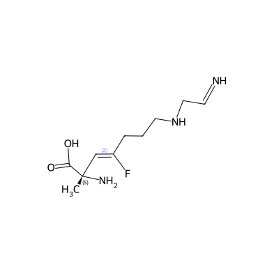 C[C@](N)(/C=C(\F)CCCNCC=N)C(=O)O